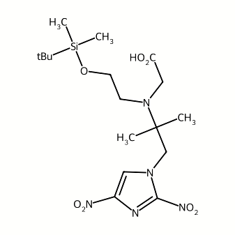 CC(C)(Cn1cc([N+](=O)[O-])nc1[N+](=O)[O-])N(CCO[Si](C)(C)C(C)(C)C)CC(=O)O